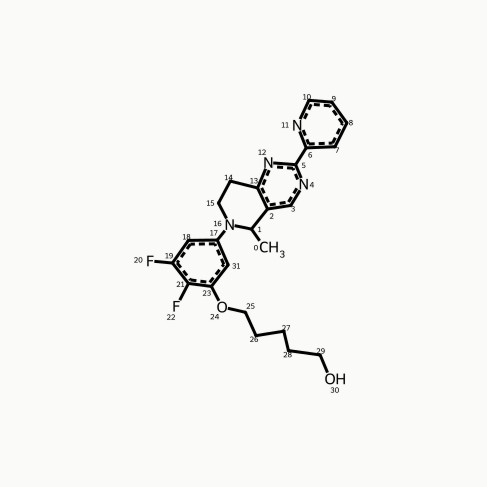 CC1c2cnc(-c3ccccn3)nc2CCN1c1cc(F)c(F)c(OCCCCCO)c1